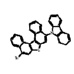 Brc1cc2sc3cc(-n4c5c(c6ccccc64)C=CCC5)c4ccccc4c3c2c2ccccc12